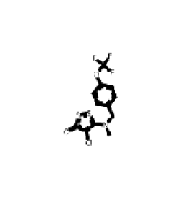 CN(Cc1ccc(OC(F)(F)F)cc1)c1ssc(=O)c1Cl